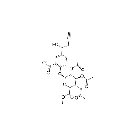 C#CCC(O)c1ccc(O[C@@H]2O[C@H](C(=O)OC)[C@@H](OC(C)=O)[C@H](OC(C)=O)[C@H]2OC(C)=O)c([N+](=O)[O-])c1